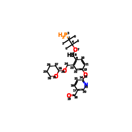 CC(C)(P)C(C)(C)OBc1ccc(Oc2ccc(C=O)cn2)cc1COC1CCCCO1